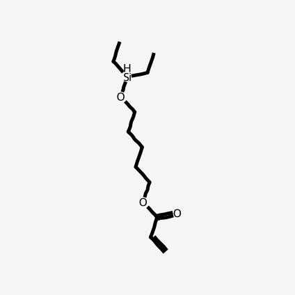 C=CC(=O)OCCCCCO[SiH](CC)CC